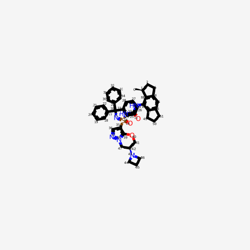 C[C@H]1CCc2cc3c(c(NC(=O)NS(=O)(=NC(c4ccccc4)(c4ccccc4)c4ccccc4)c4cnn5c4OC[C@@H](N4CCC4)C5)c21)CCC3